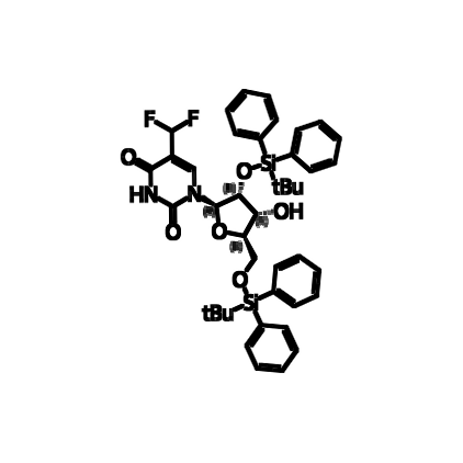 CC(C)(C)[Si](OC[C@H]1O[C@@H](n2cc(C(F)F)c(=O)[nH]c2=O)[C@H](O[Si](c2ccccc2)(c2ccccc2)C(C)(C)C)[C@@H]1O)(c1ccccc1)c1ccccc1